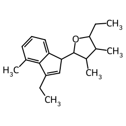 CCC1=CC(C2OC(CC)C(C)C2C)c2cccc(C)c21